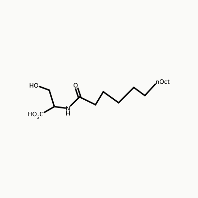 CCCCCCCCCCCCCC(=O)NC(CO)C(=O)O